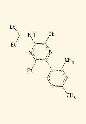 CCc1nc(-c2ccc(C)cc2C)c(CC)nc1NC(CC)CC